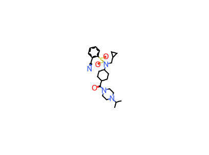 CC(C)N1CCN(C(=O)C2CCC(N(CC3CC3)S(=O)(=O)c3ccccc3C#N)CC2)CC1